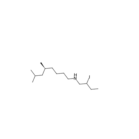 CCC(I)CNCCCC[C@H](C)CC(C)C